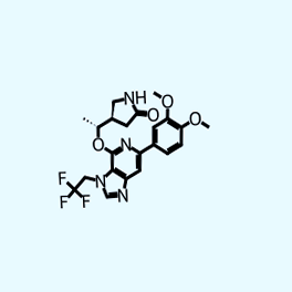 COc1ccc(-c2cc3ncn(CC(F)(F)F)c3c(O[C@H](C)[C@H]3CNC(=O)C3)n2)cc1OC